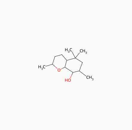 CC1CCC2C(O1)C(O)C(C)CC2(C)C